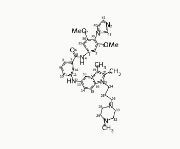 COc1cc(NC(=O)c2cccc(Nc3ccc4c(c3)c(C)c(C)n4CCCN3CCN(C)CC3)c2)cc(OC)c1-n1ccnc1